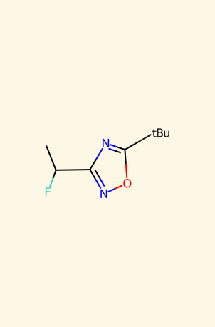 CC(F)c1noc(C(C)(C)C)n1